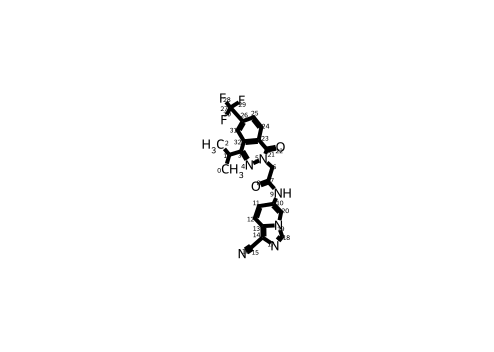 CC(C)c1nn(CC(=O)Nc2ccc3c(C#N)ncn3c2)c(=O)c2ccc(C(F)(F)F)cc12